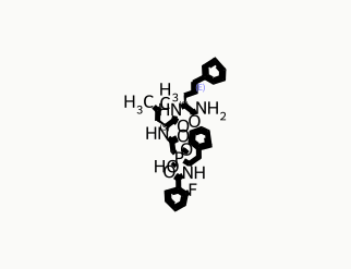 CC(C)C[C@H](NC(=O)CP(=O)(O)C(Cc1ccccc1)NC(=O)c1ccccc1F)C(=O)N[C@@H](C/C=C/c1ccccc1)C(N)=O